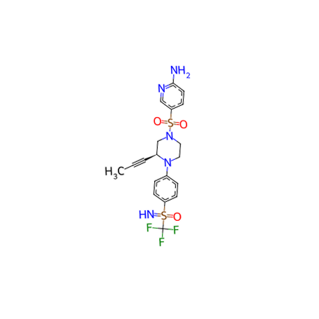 CC#C[C@H]1CN(S(=O)(=O)c2ccc(N)nc2)CCN1c1ccc(S(=N)(=O)C(F)(F)F)cc1